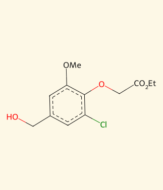 CCOC(=O)COc1c(Cl)cc(CO)cc1OC